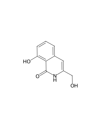 O=c1[nH]c(CO)cc2cccc(O)c12